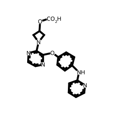 O=C(O)OC1CN(c2nccnc2Oc2ccc(Nc3ccccn3)cc2)C1